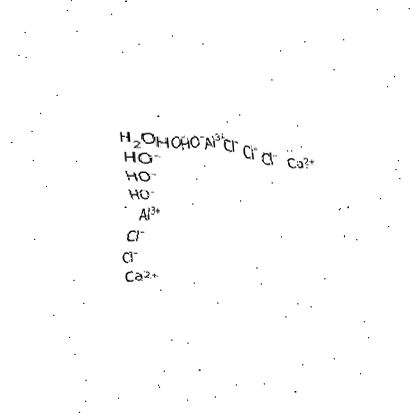 O.[Al+3].[Al+3].[Ca+2].[Ca+2].[Cl-].[Cl-].[Cl-].[Cl-].[Cl-].[OH-].[OH-].[OH-].[OH-].[OH-]